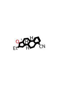 CCC1C[C@H]2[C@@H]3CCc4c(C#N)cccc4[C@H]3CC[C@]2(C)C1=O